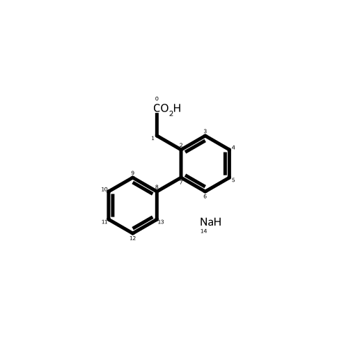 O=C(O)Cc1ccccc1-c1ccccc1.[NaH]